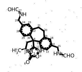 C[C@H](N)CC1(c2nc(=O)o[nH]2)c2ccc(CNC=O)cc2CCc2cc(CNC=O)ccc21